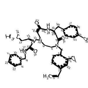 C=Cc1ccc(CN2CCN(N(CCC)C(=O)NCc3ccccc3)CC(=O)N[C@@H](Cc3ccc(O)cc3)C2=O)c(Cl)c1